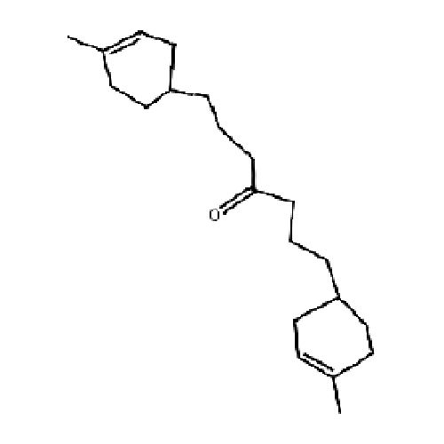 CC1=CCC(CCCC(=O)CCCC2CC=C(C)CC2)CC1